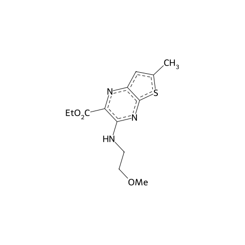 CCOC(=O)c1nc2cc(C)sc2nc1NCCOC